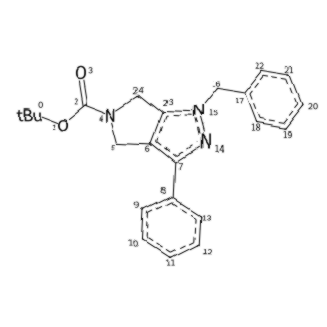 CC(C)(C)OC(=O)N1Cc2c(-c3ccccc3)nn(Cc3ccccc3)c2C1